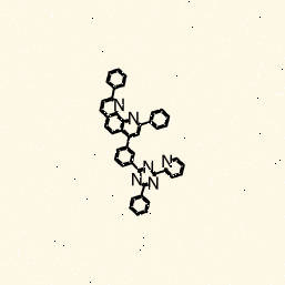 c1ccc(-c2ccc3ccc4c(-c5cccc(-c6nc(-c7ccccc7)nc(-c7ccccn7)n6)c5)cc(-c5ccccc5)nc4c3n2)cc1